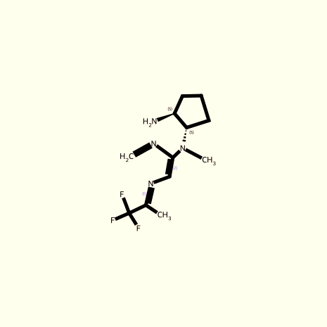 C=N/C(=C\N=C(/C)C(F)(F)F)N(C)[C@H]1CCC[C@@H]1N